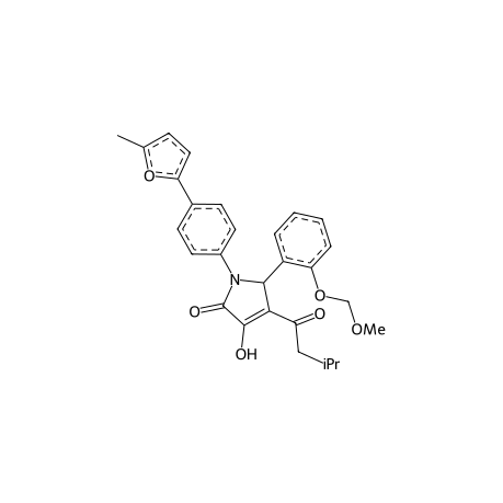 COCOc1ccccc1C1C(C(=O)CC(C)C)=C(O)C(=O)N1c1ccc(-c2ccc(C)o2)cc1